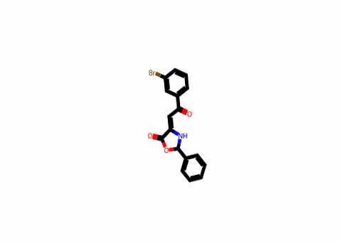 O=C1OC(c2ccccc2)N/C1=C\C(=O)c1cccc(Br)c1